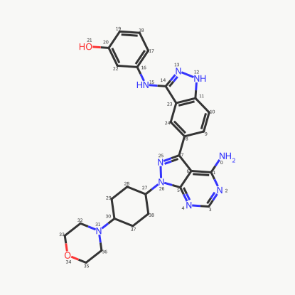 Nc1ncnc2c1c(-c1ccc3[nH]nc(Nc4cccc(O)c4)c3c1)nn2C1CCC(N2CCOCC2)CC1